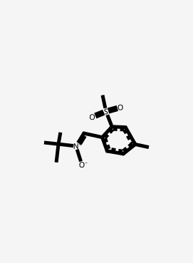 Cc1ccc(/C=[N+](\[O-])C(C)(C)C)c(S(C)(=O)=O)c1